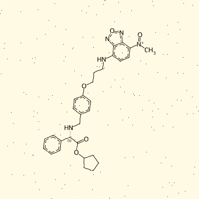 C[N+](=O)c1ccc(NCCCOc2ccc(CN[C@H](C(=O)OC3CCCC3)c3ccccc3)cc2)c2nonc12